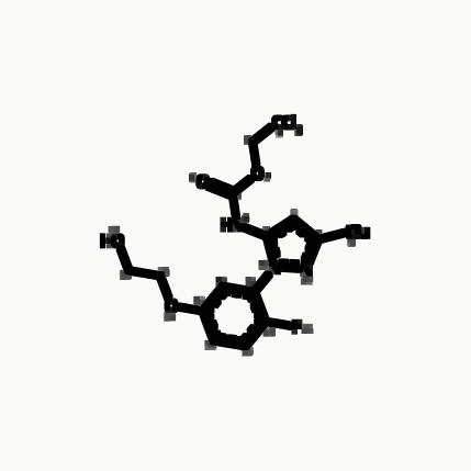 CC(C)(C)c1cc(NC(=O)OCC(Cl)(Cl)Cl)n(-c2cc(OCCO)ccc2F)n1